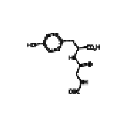 O=CNCC(=O)N[C@@H](Cc1ccc(O)cc1)C(=O)O